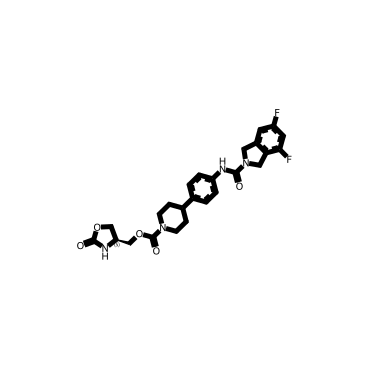 O=C1N[C@H](COC(=O)N2CCC(c3ccc(NC(=O)N4Cc5cc(F)cc(F)c5C4)cc3)CC2)CO1